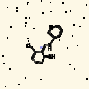 N=C1C=CC=C(Cl)/C1=C/Nc1cccnc1